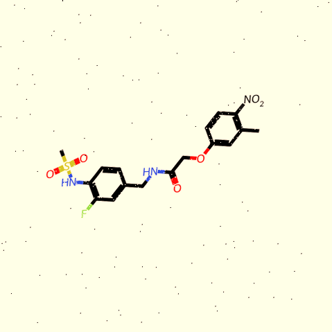 Cc1cc(OCC(=O)NCc2ccc(NS(C)(=O)=O)c(F)c2)ccc1[N+](=O)[O-]